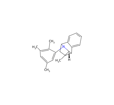 Cc1cc(C)c(C)c(N2C3CCC(c4ccccc43)[C@@H]2C)c1